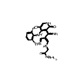 N=C/C(=C\NCC(N)=O)C(=N)c1c(Nc2c(F)cccc2F)c(Cl)c[nH]c1=O